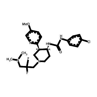 COc1ccc([C@@H]2CN(CC(F)(F)CN(C)C)CC[C@H]2NC(=O)Nc2ccc(Cl)cc2)nc1